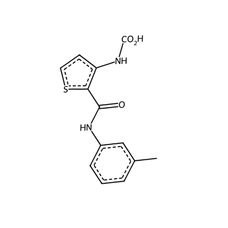 Cc1cccc(NC(=O)c2sccc2NC(=O)O)c1